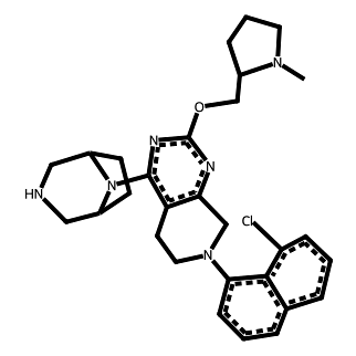 CN1CCCC1COc1nc2c(c(N3C4CCC3CNC4)n1)CCN(c1cccc3cccc(Cl)c13)C2